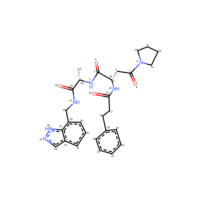 C[C@H](NC(=O)[C@H](CC(=O)N1CCCC1)NC(=O)CCc1ccccc1)C(=O)NCc1cccc2cn[nH]c12